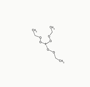 CCOOP(OOCC)OOCC